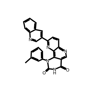 Cc1cccc(-n2c(=O)[nH]c(=O)c3cnc4ccc(-c5cnc6ccccc6c5)nc4c32)c1